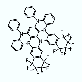 FC1(F)c2cc3c(cc2C(F)(F)C(F)(F)C1(F)F)N1c2cc4c(cc2B2c5ccccc5N(c5ccccc5)c5cc6c(c1c52)B3c1ccccc1N6c1ccccc1)C(F)(F)C(F)(F)C(F)(F)C4(F)F